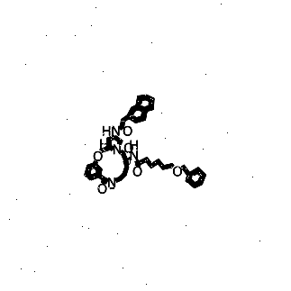 CN1CCC[C@H](NC(=O)CCCCCOCc2ccccc2)C(=O)N2CC(NC(=O)Cc3ccc4ccccc4c3)C[C@H]2COc2cccc(c2)C1=O